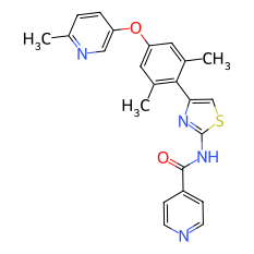 Cc1ccc(Oc2cc(C)c(-c3csc(NC(=O)c4ccncc4)n3)c(C)c2)cn1